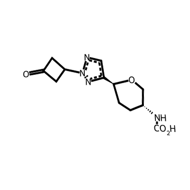 O=C1CC(n2ncc([C@@H]3CC[C@@H](NC(=O)O)CO3)n2)C1